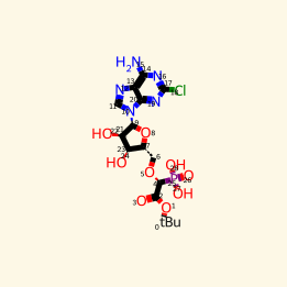 CC(C)(C)OC(=O)[C@H](OC[C@H]1O[C@@H](n2cnc3c(N)nc(Cl)nc32)[C@H](O)[C@H]1O)P(=O)(O)O